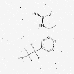 CC(N[S@+]([O-])C(C)(C)C)c1cccc(C(F)(F)C(C)(C)O)c1